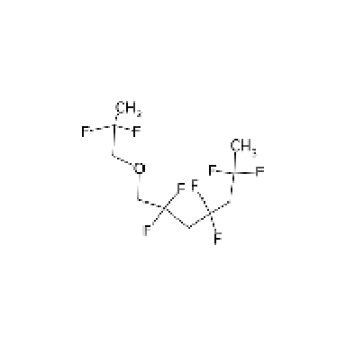 CC(F)(F)COCC(F)(F)CC(F)(F)CC(C)(F)F